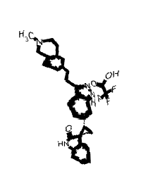 CN1CCc2cc(C=Cc3n[nH]c4cc([C@@H]5C[C@@]56C(=O)Nc5ccccc56)ccc34)ccc2C1.O=C(O)C(F)(F)F